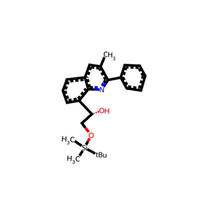 Cc1cc2cccc([C@H](O)CO[Si](C)(C)C(C)(C)C)c2nc1-c1ccccc1